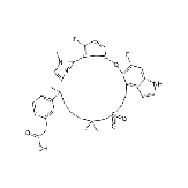 Cn1cc2nc1-c1cc(ccc1F)Oc1c(F)cc3[nH]ccc3c1CCS(=O)(=O)CC(C)(C)CCCC2(C)c1cccc(CC(=O)O)c1